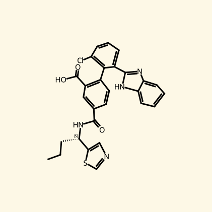 CCC[C@H](NC(=O)c1ccc(-c2c(Cl)cccc2-c2nc3ccccc3[nH]2)c(C(=O)O)c1)c1cncs1